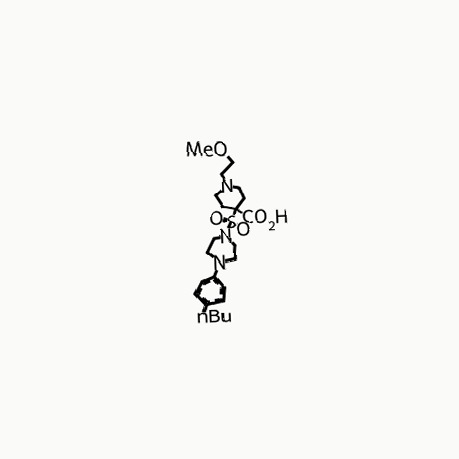 CCCCc1ccc(N2CCN(S(=O)(=O)C3(C(=O)O)CCN(CCOC)CC3)CC2)cc1